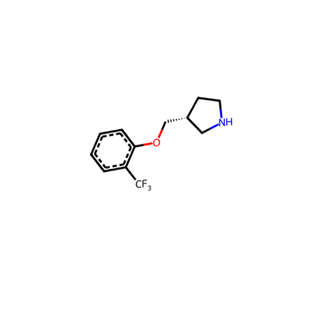 FC(F)(F)c1ccccc1OC[C@@H]1CCNC1